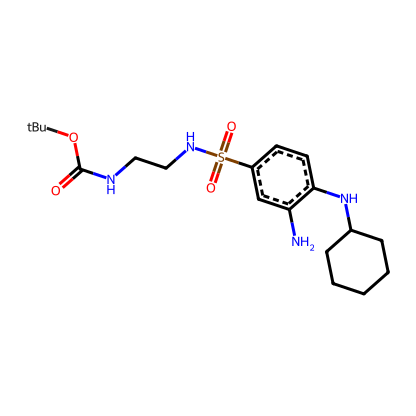 CC(C)(C)OC(=O)NCCNS(=O)(=O)c1ccc(NC2CCCCC2)c(N)c1